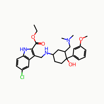 CCOC(=O)c1[nH]c2ccc(Cl)cc2c1CNC1CCC(O)(c2cccc(OC)c2)C(CN(C)C)C1